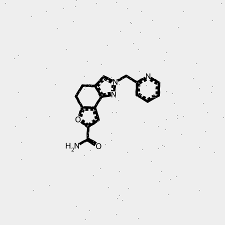 NC(=O)c1cc2c(o1)CCc1cn(Cc3ccccn3)nc1-2